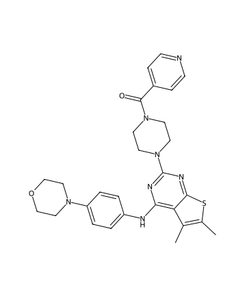 Cc1sc2nc(N3CCN(C(=O)c4ccncc4)CC3)nc(Nc3ccc(N4CCOCC4)cc3)c2c1C